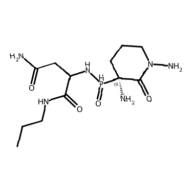 CCCNC(=O)C(CC(N)=O)N[PH](=O)[C@@]1(N)CCCN(N)C1=O